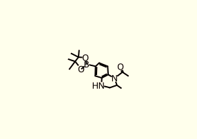 CC(=O)N1c2ccc(B3OC(C)(C)C(C)(C)O3)cc2NCC1C